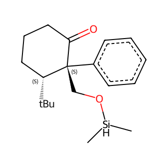 C[SiH](C)OC[C@]1(c2ccccc2)C(=O)CCC[C@H]1C(C)(C)C